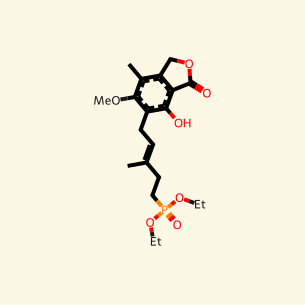 CCOP(=O)(CC/C(C)=C/Cc1c(O)c2c(c(C)c1OC)COC2=O)OCC